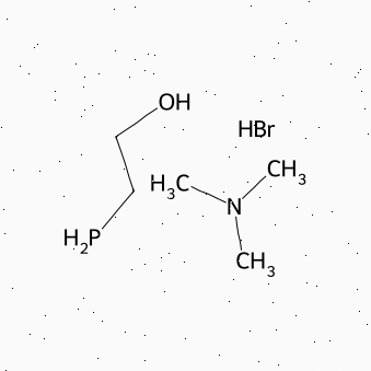 Br.CN(C)C.OCCP